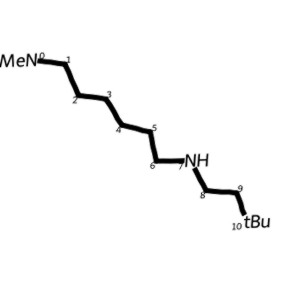 CNCCCCCCNCCC(C)(C)C